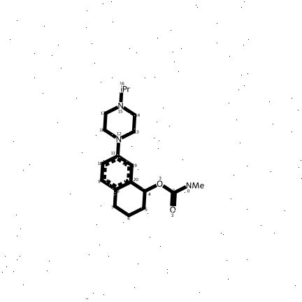 CNC(=O)OC1CCCc2ccc(N3CCN(C(C)C)CC3)cc21